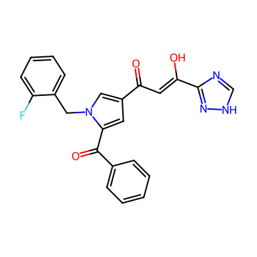 O=C(C=C(O)c1nc[nH]n1)c1cc(C(=O)c2ccccc2)n(Cc2ccccc2F)c1